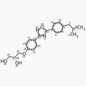 CC(C)Cc1ccc(-c2nc(-c3ccc(OC[C@H](O)CO)cc3)no2)cc1